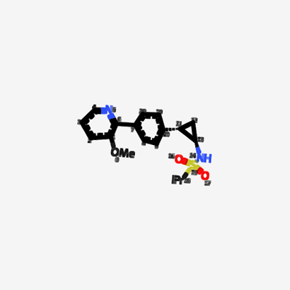 COc1cccnc1-c1ccc([C@@H]2C[C@H]2NS(=O)(=O)C(C)C)cc1